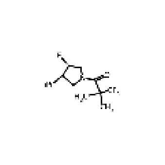 CC(C)C1CN(C(=O)C(C)(C)C(F)(F)F)C[C@@H]1F